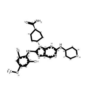 NC(=O)[C@H]1CC[C@H](n2c(Nc3c(Cl)cc(OC(F)(F)F)cc3Cl)nc3cnc(NC4CCOCC4)nc32)CC1